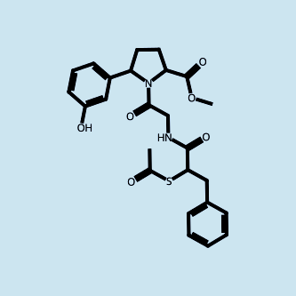 COC(=O)C1CCC(c2cccc(O)c2)N1C(=O)CNC(=O)C(Cc1ccccc1)SC(C)=O